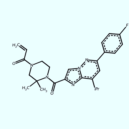 C=CC(=O)N1CCN(C(=O)c2cn3nc(-c4ccc(F)cc4)cc(C(C)C)c3n2)C(C)(C)C1